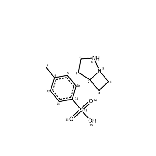 C1CC2CCN2N1.Cc1ccc(S(=O)(=O)O)cc1